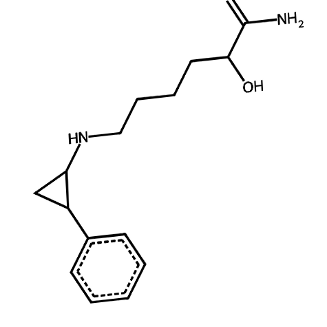 NC(=O)C(O)CCCCNC1CC1c1ccccc1